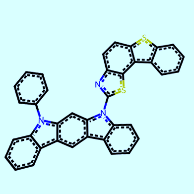 c1ccc(-n2c3ccccc3c3cc4c5ccccc5n(-c5nc6ccc7sc8ccccc8c7c6s5)c4cc32)cc1